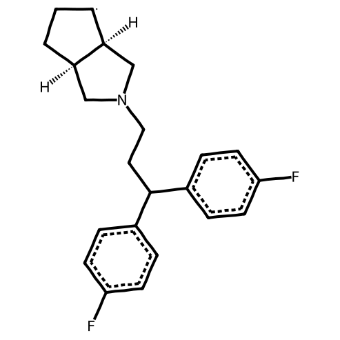 Fc1ccc(C(CCN2C[C@H]3CC[CH][C@H]3C2)c2ccc(F)cc2)cc1